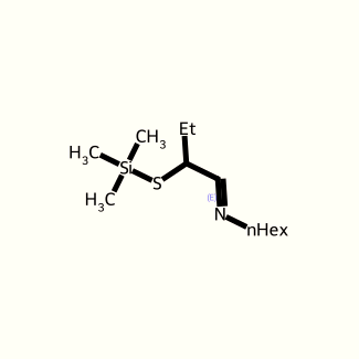 CCCCCC/N=C/C(CC)S[Si](C)(C)C